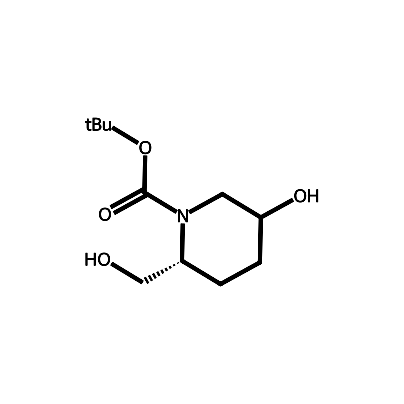 CC(C)(C)OC(=O)N1CC(O)CC[C@@H]1CO